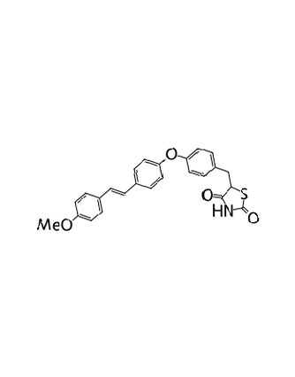 COc1ccc(C=Cc2ccc(Oc3ccc(CC4SC(=O)NC4=O)cc3)cc2)cc1